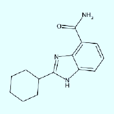 NC(=O)c1cccc2[nH]c(C3CCCCC3)nc12